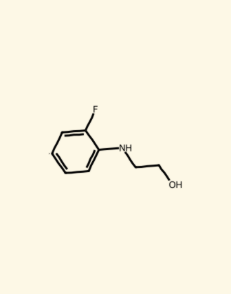 OCCNc1cc[c]cc1F